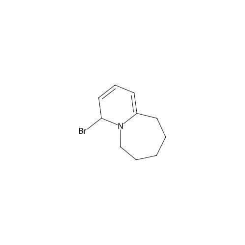 BrC1C=CC=C2CCCCCN21